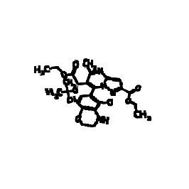 CCOC(=O)c1cc2nc(C)c([C@H](OC(C)(C)C)C(=O)OCC)c(-c3ccc4c(c3Cl)NCCO4)n2n1